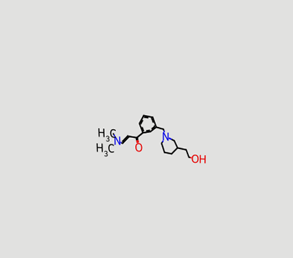 CN(C)C=CC(=O)c1cccc(CN2CCCC(CCO)C2)c1